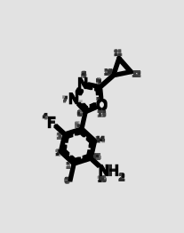 Cc1cc(F)c(-c2nnc(C3CC3)o2)cc1N